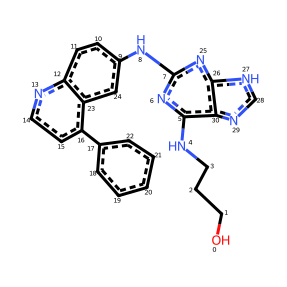 OCCCNc1nc(Nc2ccc3nccc(-c4ccccc4)c3c2)nc2[nH]cnc12